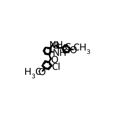 COc1ccc(C(=O)Nc2c(N)cccc2C(=O)c2ccc(OC)cc2Cl)cc1